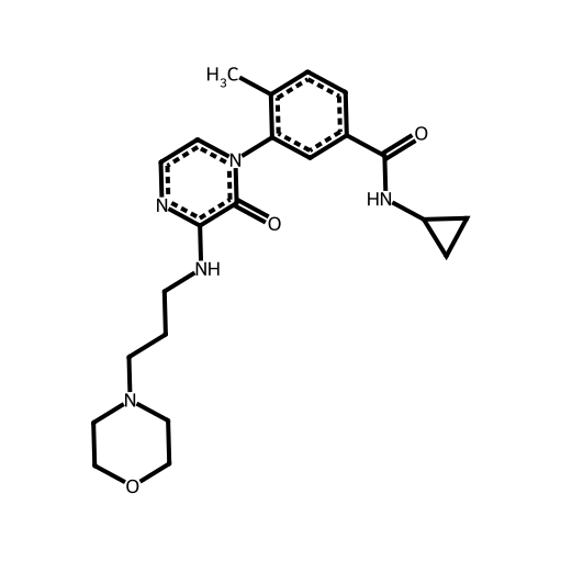 Cc1ccc(C(=O)NC2CC2)cc1-n1ccnc(NCCCN2CCOCC2)c1=O